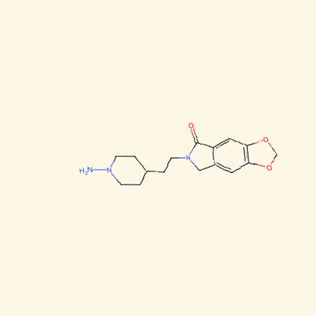 NN1CCC(CCN2Cc3cc4c(cc3C2=O)OCO4)CC1